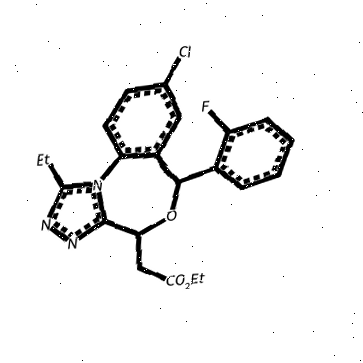 CCOC(=O)CC1OC(c2ccccc2F)c2cc(Cl)ccc2-n2c(CC)nnc21